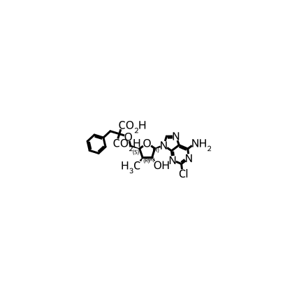 C[C@@H]1[C@@H](O)[C@H](n2cnc3c(N)nc(Cl)nc32)O[C@@H]1COC(Cc1ccccc1)(C(=O)O)C(=O)O